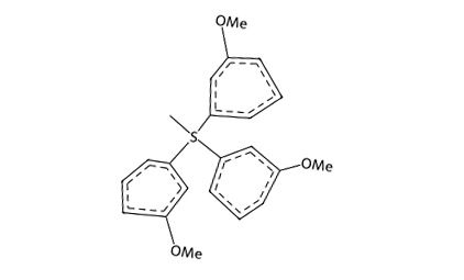 COc1cccc(S(C)(c2cccc(OC)c2)c2cccc(OC)c2)c1